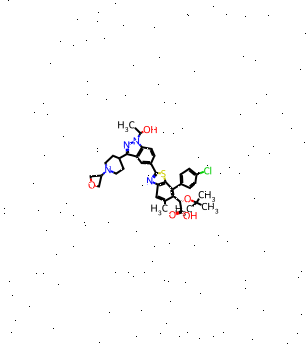 Cc1cc2nc(-c3ccc4c(c3)c(C3CCN(C5COC5)CC3)nn4C(C)O)sc2c(-c2ccc(Cl)cc2)c1[C@H](OC(C)(C)C)C(=O)O